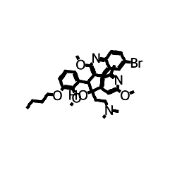 CCCCOc1cccc(C(c2cc3cc(Br)ccc3nc2OC)C(O)(CCN(C)C)c2cc(C)nc(OC)c2)c1OC